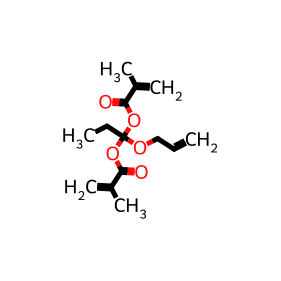 C=CCOC(CC)(OC(=O)C(=C)C)OC(=O)C(=C)C